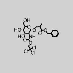 CC(CO[C@@H]1OC(CO)[C@@H](O)[C@H](O)C1NC(=O)OCC(Cl)(Cl)Cl)C(=O)OCc1ccccc1